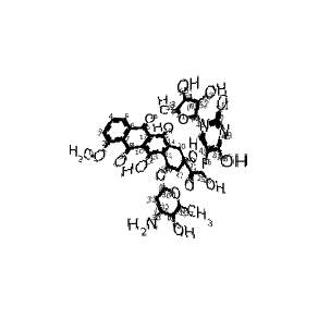 COc1cccc2c1C(=O)c1c(O)c3c(c(O)c1C2=O)C[C@@](O)(C(=O)CO)C[C@@H]3O[C@H]1C[C@H](N)[C@H](O)[C@H](C)O1.C[C@H]1O[C@@H](n2cc(F)c(O)nc2=O)[C@H](O)[C@@H]1O